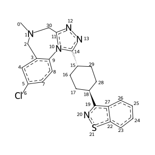 CN1Cc2cc(Cl)ccc2-n2c(nnc2[C@H]2CC[C@H](c3nsc4ccccc43)CC2)C1